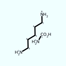 NC(=O)O.NCCCCCN